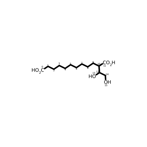 O=C(O)CCCCCCCCCC(C(=O)O)C(O)CO